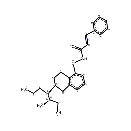 CCCN([C@H]1CCc2c(cccc2ONC(=O)/C=C/c2ccccc2)C1)[C@H](C)CC